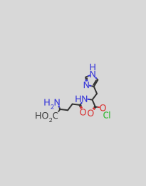 NC(CCC(=O)NC(Cc1c[nH]cn1)C(=O)OCl)C(=O)O